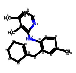 C=C(C)/C(C)=C(\N=C/C)Nc1ccc(C)cc1CC1=CCCCC1